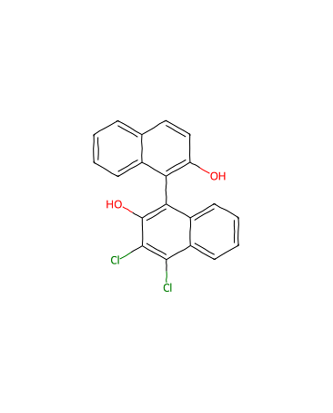 Oc1ccc2ccccc2c1-c1c(O)c(Cl)c(Cl)c2ccccc12